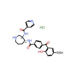 CSc1ccc(O)c(C(=O)c2ccc(C(=O)N[C@@H]3CCCNC[C@H]3NC(=O)c3ccncc3)cc2)c1.Cl